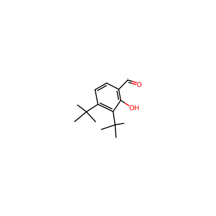 CC(C)(C)c1ccc([C]=O)c(O)c1C(C)(C)C